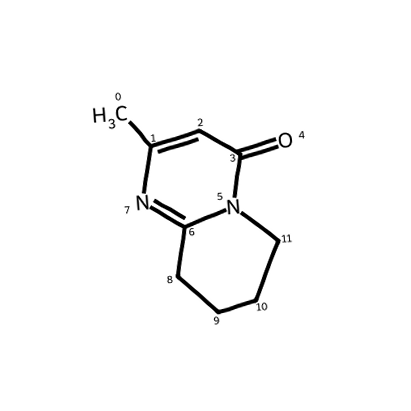 Cc1cc(=O)n2c(n1)CCCC2